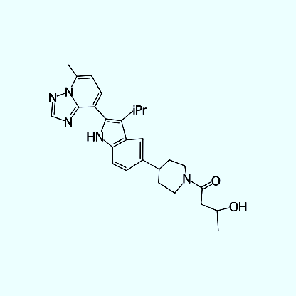 Cc1ccc(-c2[nH]c3ccc(C4CCN(C(=O)CC(C)O)CC4)cc3c2C(C)C)c2ncnn12